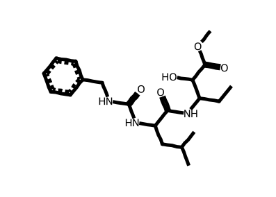 CCC(NC(=O)C(CC(C)C)NC(=O)NCc1ccccc1)C(O)C(=O)OC